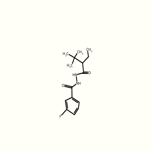 CCC(C(=O)NNC(=O)c1cccc(F)c1)C(C)(C)C